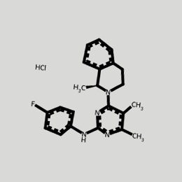 Cc1nc(Nc2ccc(F)cc2)nc(N2CCc3ccccc3[C@@H]2C)c1C.Cl